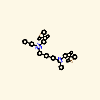 c1ccc(-c2ccc(-c3nc(-c4cccc(-c5ccc(-c6ccc(-c7cc(-c8ccccc8)nc(-c8ccc9c(c8)C8(c%10ccccc%10Sc%10ccccc%108)c8ccccc8-9)n7)cc6)cc5)c4)nc(-c4ccc5c(c4)C4(c6ccccc6Sc6ccccc64)c4ccccc4-5)n3)cc2)cc1